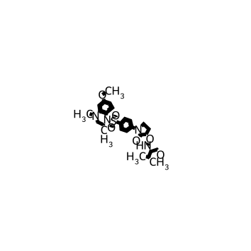 COc1ccc2c(c1)N(C)CC(C)N2S(=O)(=O)c1ccc(N2CCC(ON[C@H](C=O)C(C)C)C2=O)cc1